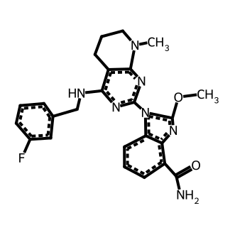 COc1nc2c(C(N)=O)cccc2n1-c1nc(NCc2cccc(F)c2)c2c(n1)N(C)CCC2